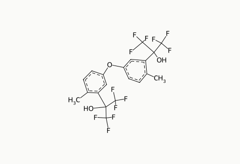 Cc1ccc(Oc2ccc(C)c(C(O)(C(F)(F)F)C(F)(F)F)c2)cc1C(O)(C(F)(F)F)C(F)(F)F